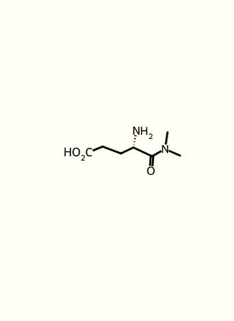 CN(C)C(=O)[C@@H](N)CCC(=O)O